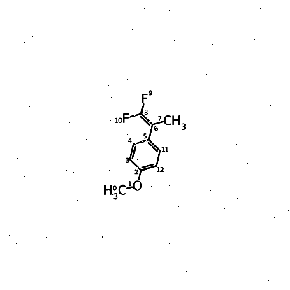 COc1ccc(C(C)=C(F)F)cc1